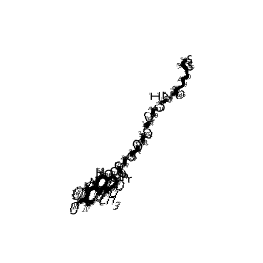 CC(C)[C@]12O[C@H]1[C@H](C)[C@@]13O[C@@]14CCC1=C(COC1=O)[C@@H]4C[C@@H]1O[C@@]13[C@@H]2OC(=O)OCCOCCOCCOCCOCCOCCNC(=O)CCCCC1CCSS1